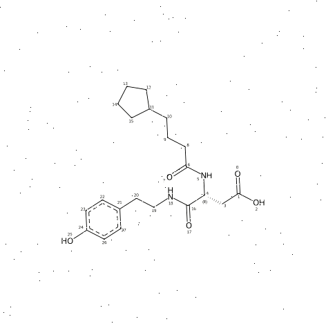 O=C(O)C[C@@H](NC(=O)CCCC1CCCC1)C(=O)NCCc1ccc(O)cc1